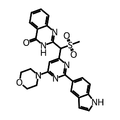 CS(=O)(=O)C(c1cc(N2CCOCC2)nc(-c2ccc3[nH]ccc3c2)n1)c1nc2ccccc2c(=O)[nH]1